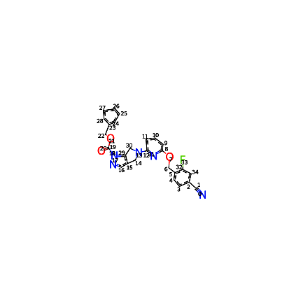 N#Cc1ccc(COc2cccc(N3Cc4cnn(C(=O)OCc5ccccc5)c4C3)n2)c(F)c1